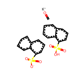 C=O.O=S(=O)(O)c1cccc2ccccc12.O=S(=O)([O-])c1cccc2ccccc12.[K+]